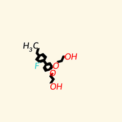 CCCc1ccc(-c2ccc(OCCCO)c(OCCCO)c2)c(F)c1